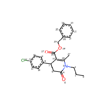 CCCN1C(=O)CC(c2ccc(Cl)cc2)C(C(=O)OCc2ccccc2)=C1C